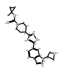 CC1(OC(=O)N2CCC(c3noc(-c4ccc5cnn(C6COC6)c5c4)n3)CC2)CC1